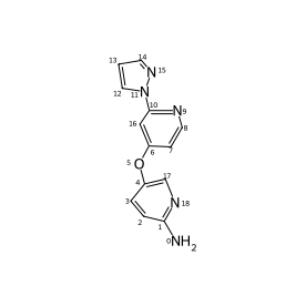 Nc1ccc(Oc2ccnc(-n3cccn3)c2)cn1